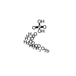 O.O.O.O.O.O.O.O.O=S(=O)(O)O.[Tb]